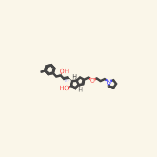 Cc1cccc(C[C@H](O)/C=C/[C@@H]2[C@H]3CC(COCCCN4CCCC4)=C[C@H]3C[C@H]2O)c1